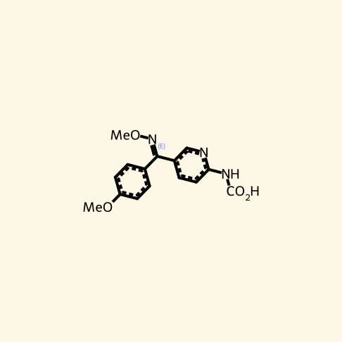 CO/N=C(\c1ccc(OC)cc1)c1ccc(NC(=O)O)nc1